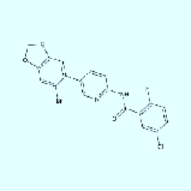 O=C(Nc1ccc(-c2cc3c(cc2Br)OCO3)cn1)c1cc(Cl)ccc1F